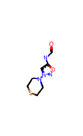 O=C[N-]c1c[n+](N2CCSCC2)no1